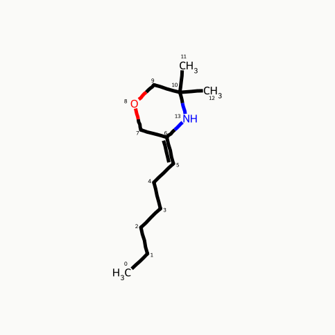 CCCCCC=C1COCC(C)(C)N1